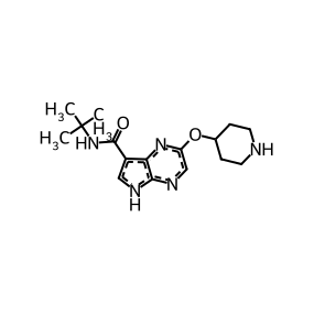 CC(C)(C)NC(=O)c1c[nH]c2ncc(OC3CCNCC3)nc12